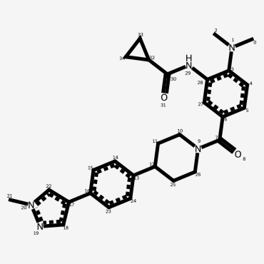 CN(C)c1ccc(C(=O)N2CCC(c3ccc(-c4cnn(C)c4)cc3)CC2)cc1NC(=O)C1CC1